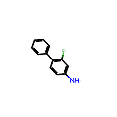 [NH]c1ccc(-c2ccccc2)c(F)c1